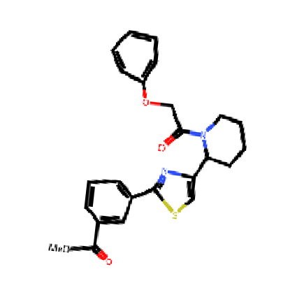 COC(=O)c1cccc(-c2nc(C3CCCCN3C(=O)COc3ccccc3)cs2)c1